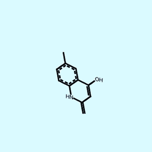 C=C1C=C(O)c2cc(C)ccc2N1